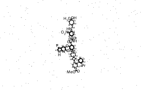 COC(=O)N1CCN(C2CC3(CCN(c4ccc(C(=O)NS(=O)(=O)c5cnc(NCC6CCC(C)(O)CC6)c([N+](=O)[O-])c5)c(Oc5cc6c(F)c[nH]c6nc5OC)c4)CC3)C2)[C@H](c2ccccc2C(C)C)C1